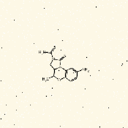 CC1Oc2ccc(N)cc2N2C(=S)N(C(N)=S)CC12